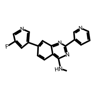 CNc1nc(-c2cccnc2)nc2cc(-c3cncc(F)c3)ccc12